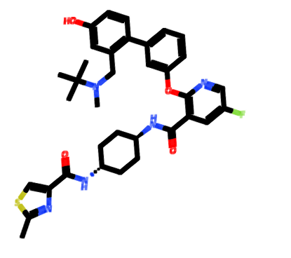 Cc1nc(C(=O)N[C@H]2CC[C@H](NC(=O)c3cc(F)cnc3Oc3cccc(-c4ccc(O)cc4CN(C)C(C)(C)C)c3)CC2)cs1